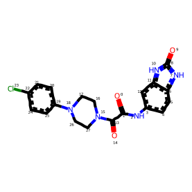 O=C(Nc1ccc2[nH]c(=O)[nH]c2c1)C(=O)N1CCN(c2ccc(Cl)cc2)CC1